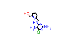 Nc1nc(Cl)c(N)c(NCc2cccc(CO)n2)n1